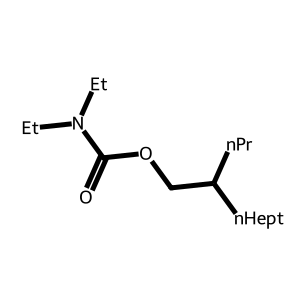 CCCCCCCC(CCC)COC(=O)N(CC)CC